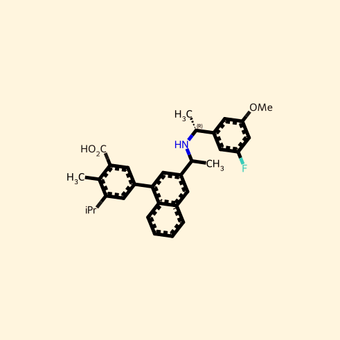 COc1cc(F)cc([C@@H](C)NC(C)c2cc(-c3cc(C(=O)O)c(C)c(C(C)C)c3)c3ccccc3c2)c1